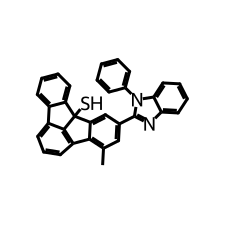 Cc1cc(-c2nc3ccccc3n2-c2ccccc2)cc2c1-c1cccc3c1C2(S)c1ccccc1-3